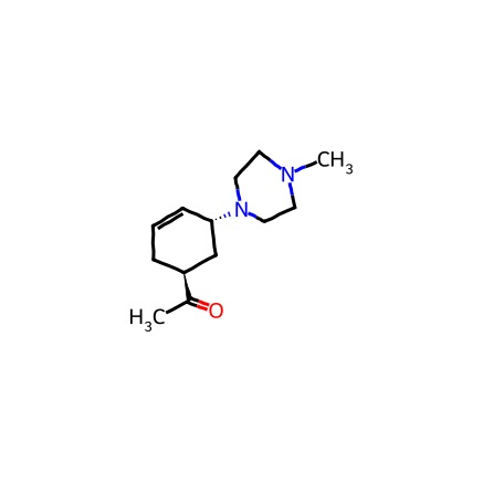 CC(=O)[C@H]1CC=C[C@H](N2CCN(C)CC2)C1